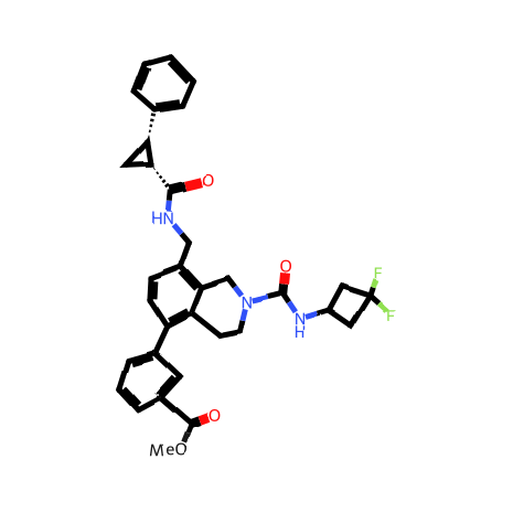 COC(=O)c1cccc(-c2ccc(CNC(=O)[C@@H]3C[C@@H]3c3ccccc3)c3c2CCN(C(=O)NC2CC(F)(F)C2)C3)c1